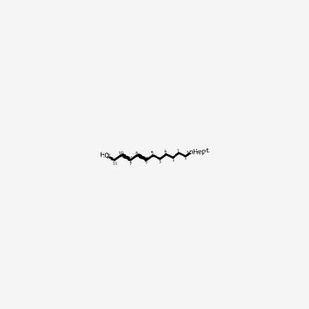 CCCCCCCCCCCCCC=CC=CCO